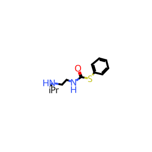 CC(C)NCCNC(=O)Sc1ccccc1